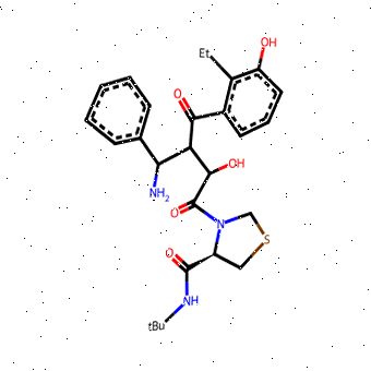 CCc1c(O)cccc1C(=O)C(C(O)C(=O)N1CSC[C@H]1C(=O)NC(C)(C)C)C(N)c1ccccc1